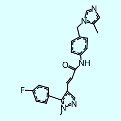 Cc1cncn1Cc1ccc(NC(=O)C=Cc2cnn(C)c2-c2ccc(F)cc2)cc1